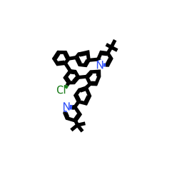 CC(C)(C)c1ccnc(-c2ccc(-c3ccccc3-c3cc(Cl)cc(-c4ccccc4-c4ccc(-c5cc(C(C)(C)C)ccn5)cc4)c3)cc2)c1